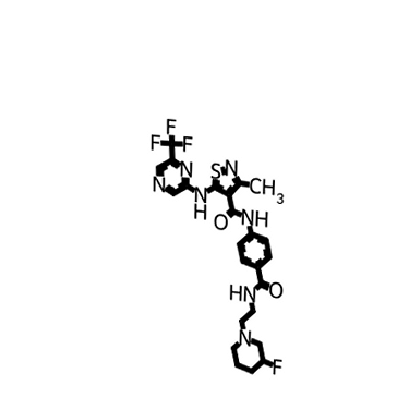 Cc1nsc(Nc2cncc(C(F)(F)F)n2)c1C(=O)Nc1ccc(C(=O)NCCN2CCCC(F)C2)cc1